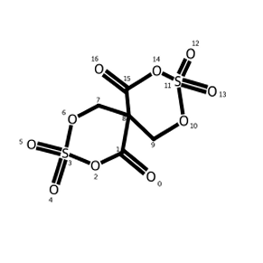 O=C1OS(=O)(=O)OCC12COS(=O)(=O)OC2=O